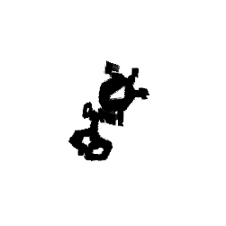 O=C(Nc1cc(F)c(F)c(F)c1)c1ccn2c1CCC2